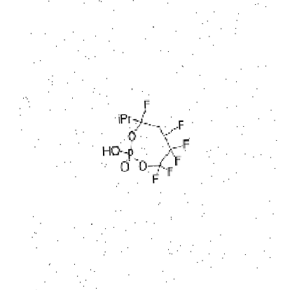 CC(C)C1(F)CC(F)C(F)(F)C(F)(F)OP(=O)(O)O1